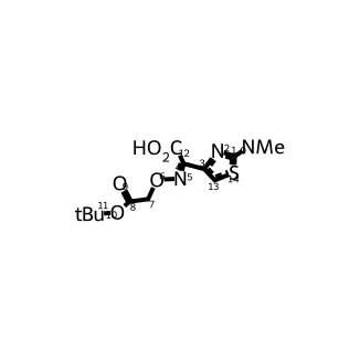 CNc1nc(/C(=N/OCC(=O)OC(C)(C)C)C(=O)O)cs1